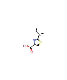 CC[C@@H](C)c1nc(C(=O)O)cs1